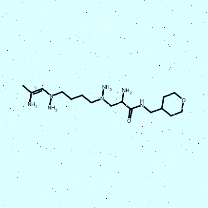 C/C(N)=C/N(N)CCCCN(N)CC(N)C(=O)NCC1CCOCC1